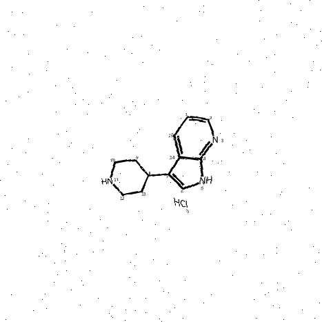 Cl.c1cnc2[nH]cc(C3CCNCC3)c2c1